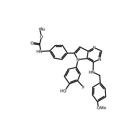 COc1ccc(CNc2ncnc3cc(-c4ccc(NC(=O)OC(C)(C)C)cc4)n(-c4ccc(O)c(F)c4)c23)cc1